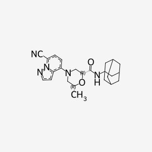 C[C@@H]1CN(c2ccc(C#N)n3nccc23)C[C@H](C(=O)NC23CC4CC(CC(C4)C2)C3)O1